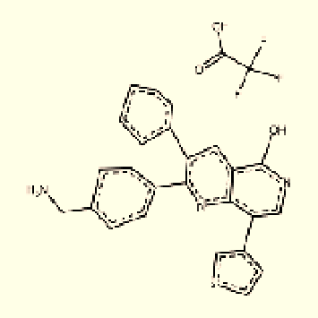 NCc1ccc(-c2nc3c(-c4ccsc4)cnc(O)c3cc2-c2ccccc2)cc1.O=C(O)C(F)(F)F